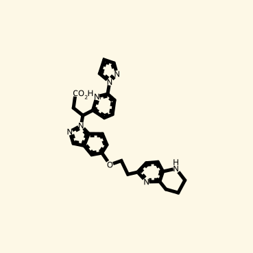 O=C(O)CC(c1cccc(-n2cccn2)n1)n1ncc2cc(OCCc3ccc4c(n3)CCCN4)ccc21